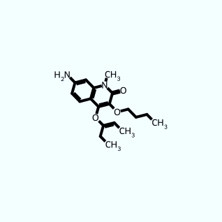 CC=C(CC)Oc1c(OCCCC)c(=O)n(C)c2cc(N)ccc12